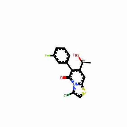 C[C@H](O)c1cc2scc(Cl)n2c(=O)c1-c1cccc(F)c1